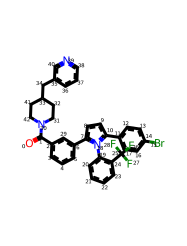 O=C(c1cccc(-c2ccc(-c3ccc(Br)cc3)n2-c2ccccc2C(F)(F)F)c1)N1CCC(Cc2cccnc2)CC1